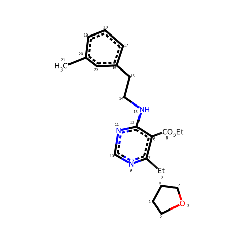 C1CCOC1.CCOC(=O)c1c(CC)ncnc1NCCc1cccc(C)c1